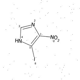 O=[N+]([O-])c1nc[nH]c1I